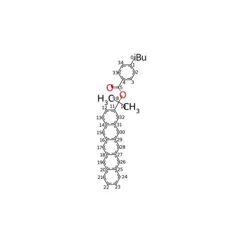 CCC(C)c1ccc(C(=O)OC(C)(C)c2ccc3cc4cc5cc6ccccc6cc5cc4cc3c2)cc1